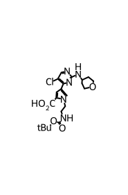 CC(C)(C)OC(=O)NCCn1cc(-c2nc(NC3CCOCC3)ncc2Cl)cc1C(=O)O